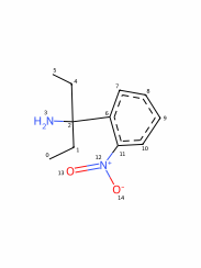 CCC(N)(CC)c1ccccc1[N+](=O)[O-]